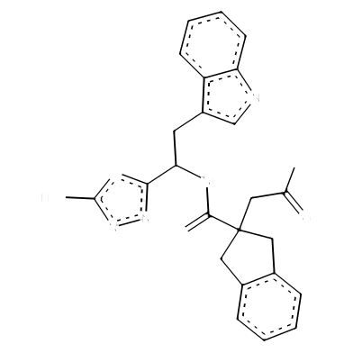 Cc1nnc(C(Cc2c[nH]c3ccccc23)NC(=O)C2(CC(=O)O)Cc3ccccc3C2)o1